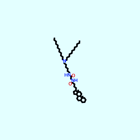 CCCCCCCCCCCCN(CCCCCCCCCCCC)CCCCCCNC(=O)CNC(=O)CCCC1CCC2C3CCC4CCCCC4(C)C3CCC12C